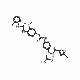 COc1cc(CC(=O)Nc2ccc([C@@H](CC(=O)O)NC(=O)c3cc(C)on3)cc2)ccc1NC(=O)Nc1ccccc1C